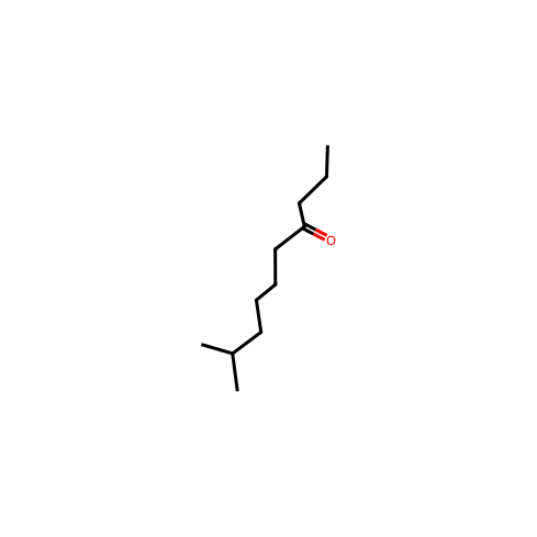 CCCC(=O)CCCCC(C)C